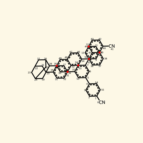 N#Cc1ccc(-c2cc(-c3ccccc3)cc(-c3ccc(C45CC6CC(CC(C6)C4c4ccc6cc(-c7cccc8c(C#N)cccc78)ccc6c4)C5)cc3)c2)cc1